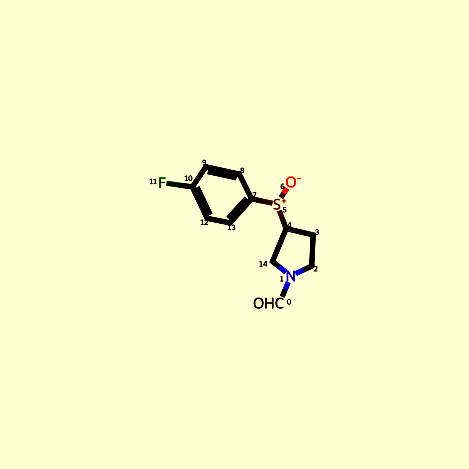 O=CN1CCC([S+]([O-])c2ccc(F)cc2)C1